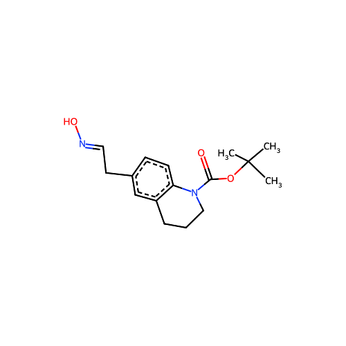 CC(C)(C)OC(=O)N1CCCc2cc(CC=NO)ccc21